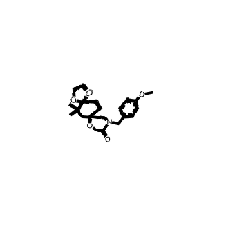 COc1ccc(CN2CC3(CCC4(OCCO4)C(C)(C)C3)OCC2=O)cc1